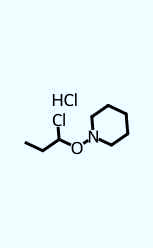 CCC(Cl)ON1CCCCC1.Cl